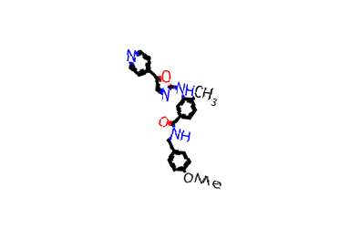 COc1ccc(CNC(=O)c2ccc(C)c(Nc3ncc(-c4ccncc4)o3)c2)cc1